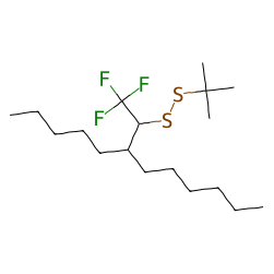 CCCCCCC(CCCCC)C(SSC(C)(C)C)C(F)(F)F